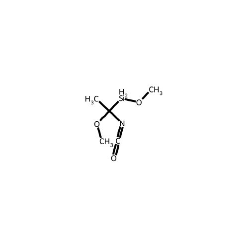 CO[SiH2]C(C)(N=C=O)OC